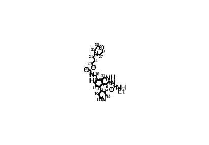 CCNC(=O)Nc1cc2c(-c3ccncc3)ccc(CNC(=O)OCCCN3CCOCC3)c2cn1